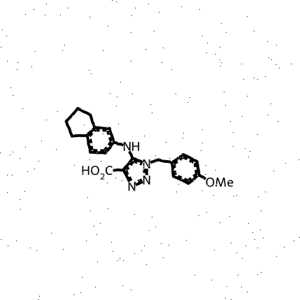 COc1ccc(Cn2nnc(C(=O)O)c2Nc2ccc3c(c2)CCCC3)cc1